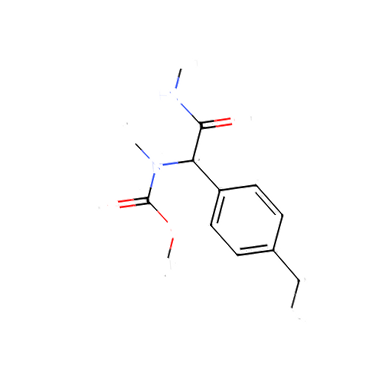 CCCNC(=O)C(c1ccc(CC(C)CC)cc1)N(C)C(=O)OC(C)(C)C